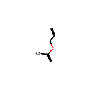 C=CCOC(=C)[SiH3]